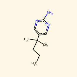 CCCC(C)(C)c1cnc(N)nc1